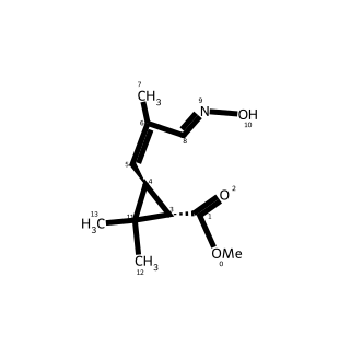 COC(=O)[C@H]1[C@H](C=C(C)C=NO)C1(C)C